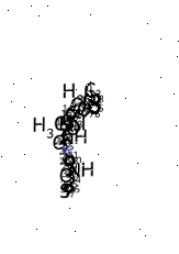 Cc1ccc2cccc(OCc3c(Cl)ccc(N(C)C(=O)CNC(=O)/C=C/c4ccc(NC(=O)Cc5ccsc5)cc4)c3Cl)c2n1